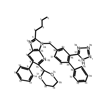 CCCCc1nc2cc(-c3ccccc3)c(C3OCCCO3)nc2n1Cc1ccc(-c2ccccc2)c(-c2nnn[nH]2)c1